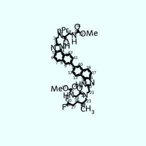 CCCN(Cc1nc2ccc3cc(-c4ccc5c(ccc6nc(CN(C[C@H](C)CCC(F)F)C(=O)CNC(=O)OC)[nH]c65)c4)ccc3c2[nH]1)C(=O)CNC(=O)OC